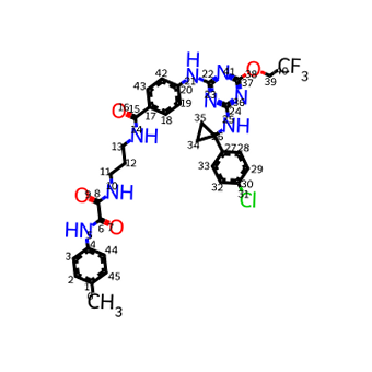 Cc1ccc(NC(=O)C(=O)NCCCNC(=O)c2ccc(Nc3nc(NC4(c5ccc(Cl)cc5)CC4)nc(OCC(F)(F)F)n3)cc2)cc1